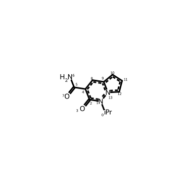 CC(C)n1c(=O)c(C(N)=O)cc2cccn21